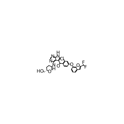 O=C(c1ccc(Oc2cccc3cc(C(F)F)oc23)cc1Cl)c1c[nH]c2ncnc(N[C@@H]3CC[C@@H](CO)OC3)c12